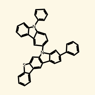 c1ccc(-c2ccc3c4cc5c(cc4n(-c4ccc6c(c4)c4ccccc4n6-c4ccccc4)c3c2)sc2ccccc25)cc1